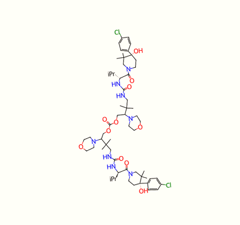 CC(C)[C@@H](NC(=O)NCC(C)(C)C(COC(=O)OCC(N1CCOCC1)C(C)(C)CNC(=O)N[C@@H](C(=O)N1CC[C@](O)(c2ccc(Cl)cc2)C(C)(C)C1)C(C)C)N1CCOCC1)C(=O)N1CC[C@](O)(c2ccc(Cl)cc2)C(C)(C)C1